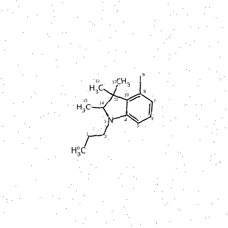 CCCN1c2cccc(I)c2C(C)(C)C1C